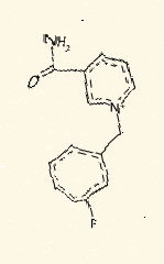 NC(=O)c1ccc[n+](Cc2cccc(F)c2)c1